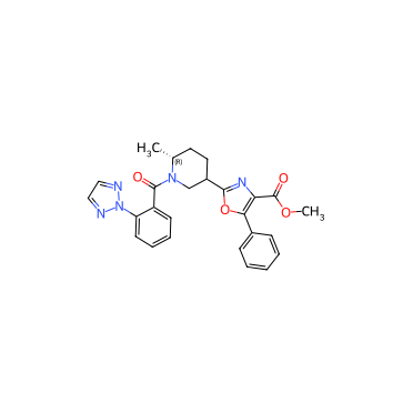 COC(=O)c1nc(C2CC[C@@H](C)N(C(=O)c3ccccc3-n3nccn3)C2)oc1-c1ccccc1